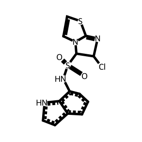 O=S(=O)(Nc1cccc2cc[nH]c12)C1C(Cl)N=C2SC=CN21